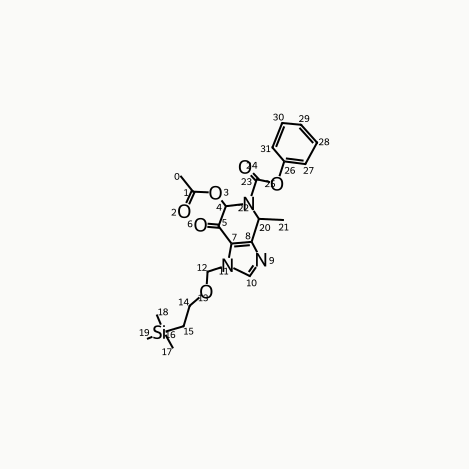 CC(=O)OC1C(=O)c2c(ncn2COCC[Si](C)(C)C)C(C)N1C(=O)Oc1ccccc1